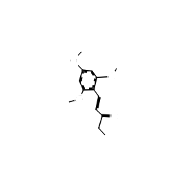 CCC(=O)C=Cc1c(OC)cc(OC)cc1OC